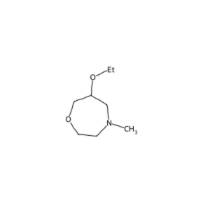 CCOC1COCCN(C)C1